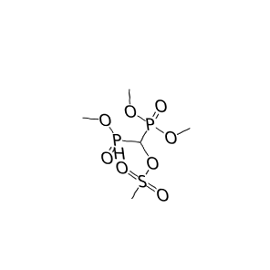 CO[PH](=O)C(OS(C)(=O)=O)P(=O)(OC)OC